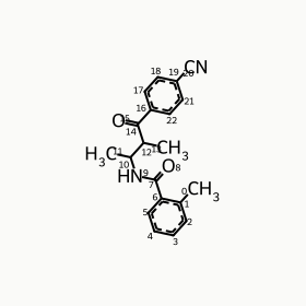 Cc1ccccc1C(=O)NC(C)C(C)C(=O)c1ccc(C#N)cc1